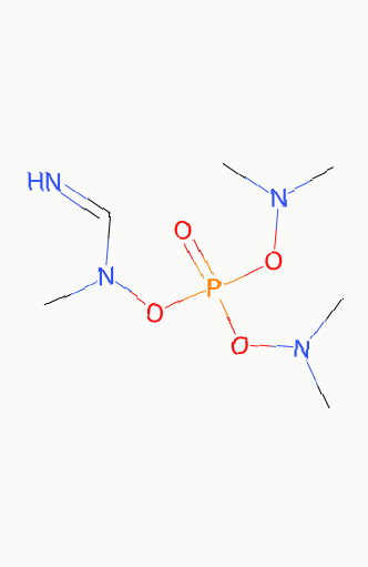 CN(C)OP(=O)(ON(C)C)ON(C)C=N